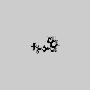 CC(C)(C)OC(=O)N1CC(n2cnc3cnc4c(c32)CCN4)C1